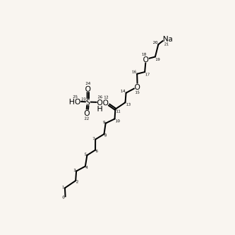 CCCCCCCCCCCC(=O)CCOCCOC[CH2][Na].O=S(=O)(O)O